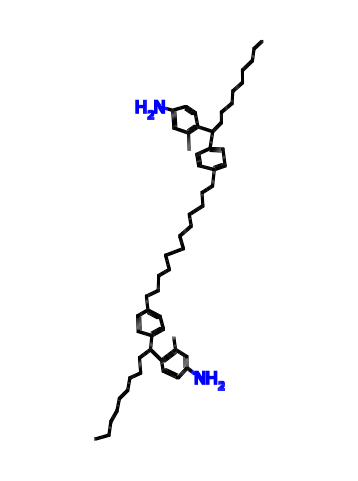 CCCCCCCCCC(c1ccc(CCCCCCCCCCCCc2ccc(C(CCCCCCCCC)c3ccc(N)cc3C)cc2)cc1)c1ccc(N)cc1C